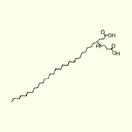 CCCCCCCCCCCCCCCCCCCCCCCCCCCC[SH](CCC(=O)O)SCCC(=O)O